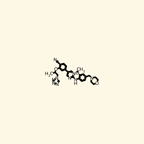 COc1cc(CN2CCOCC2)ccc1Nc1ncc(-c2ccc(C#N)c(OC(C)Cn3cnnn3)c2)cn1